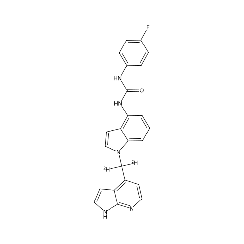 [2H]C([2H])(c1ccnc2[nH]ccc12)n1ccc2c(NC(=O)Nc3ccc(F)cc3)cccc21